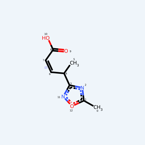 Cc1nc(C(C)/C=C\C(=O)O)no1